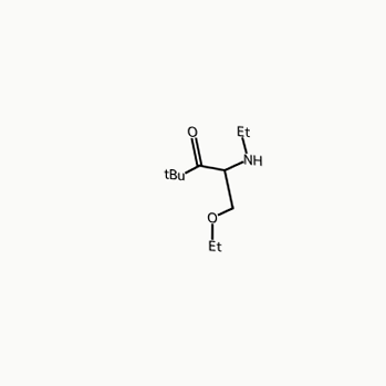 CCNC(COCC)C(=O)C(C)(C)C